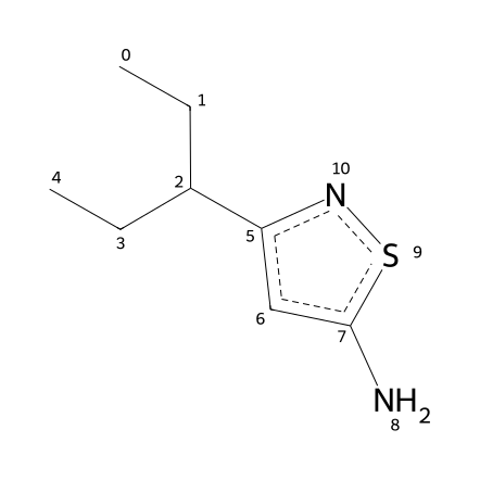 CCC(CC)c1cc(N)sn1